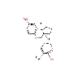 CC1=CC([C@@H]2Oc3ccc(O)cc3[C@H]3CCC[C@H]32)CC=C1O